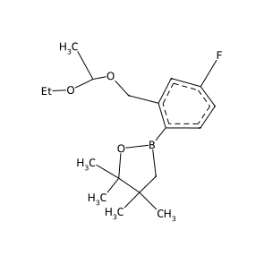 CCOC(C)OCc1cc(F)ccc1B1CC(C)(C)C(C)(C)O1